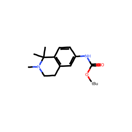 CN1CCc2cc(NC(=O)OC(C)(C)C)ccc2C1(C)C